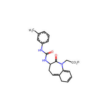 Cc1cccc(NC(=O)NC2CC=C3CC=CC=C3N(CC(=O)O)C2=O)c1